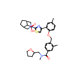 Cc1ccc(OCc2ccc(C(=O)N(C)CC3CCCO3)cc2C)c(-c2csc(N3CC4CCC(C3)C4C(=O)O)n2)c1